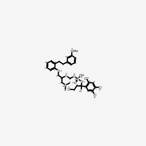 COc1cccc(CCc2ccccc2OCC(CN(C)C)OCOP(=O)(O)OC(I)(CCCl)c2cc(Cl)c(Cl)cc2Cl)c1